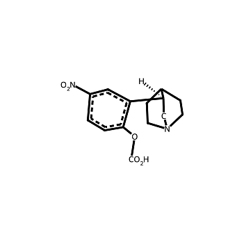 O=C(O)Oc1ccc([N+](=O)[O-])cc1[C@@H]1CN2CCC1CC2